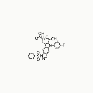 C=C(C)c1c(CCC(=O)O)c2cc3c(cnn3S(=O)(=O)c3ccccc3)cc2n1-c1ccc(F)cc1